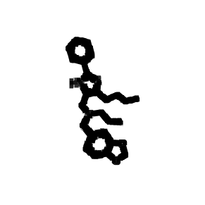 CCCCc1nc(-c2ccccc2)[nH]c1CN(CCC)Cc1ccc2c(c1)OCO2